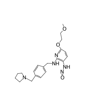 COCCOc1ccc(NN=O)c(NCc2ccc(CN3CCCC3)cc2)n1